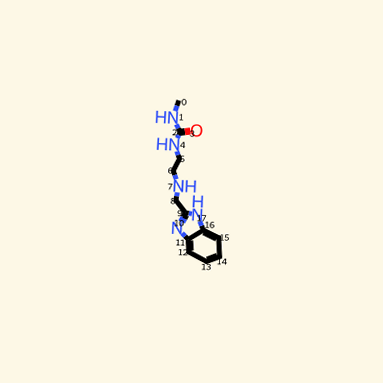 CNC(=O)NCCNCc1nc2ccccc2[nH]1